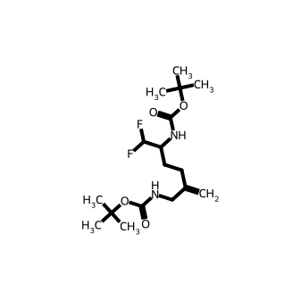 C=C(CCC(NC(=O)OC(C)(C)C)C(F)F)CNC(=O)OC(C)(C)C